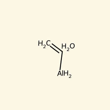 C=[CH][AlH2].O